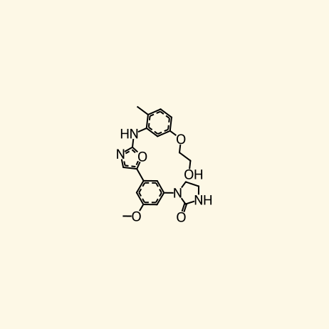 COc1cc(-c2cnc(Nc3cc(OCCO)ccc3C)o2)cc(N2CCNC2=O)c1